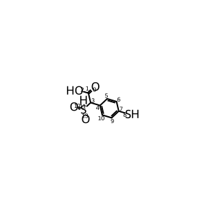 O=C(O)C(c1ccc(S)cc1)[SH](=O)=O